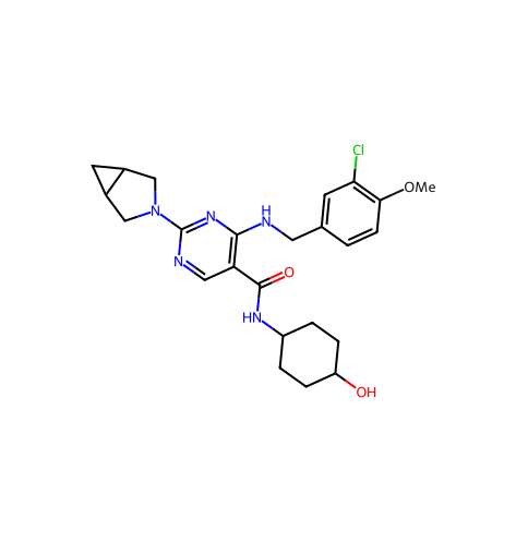 COc1ccc(CNc2nc(N3CC4CC4C3)ncc2C(=O)NC2CCC(O)CC2)cc1Cl